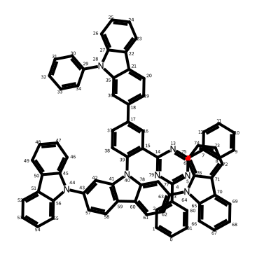 c1ccc(-c2nc(-c3ccccc3)nc(-c3cc(-c4ccc5c6ccccc6n(-c6ccccc6)c5c4)ccc3-n3c4cc(-n5c6ccccc6c6ccccc65)ccc4c4ccc(-n5c6ccccc6c6ccccc65)cc43)n2)cc1